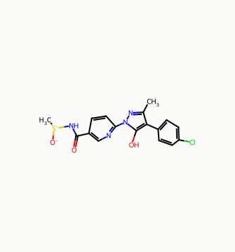 Cc1nn(-c2ccc(C(=O)N[S+](C)[O-])cn2)c(O)c1-c1ccc(Cl)cc1